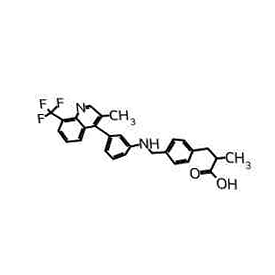 Cc1cnc2c(C(F)(F)F)cccc2c1-c1cccc(NCc2ccc(CC(C)C(=O)O)cc2)c1